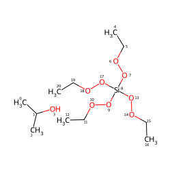 CC(C)O.CCOO[Si](OOCC)(OOCC)OOCC